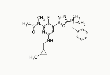 CC1CC1CNc1cc(-c2nnc([C@](C)(N)Cc3ccccc3)o2)c(F)c(N(C)[S+](C)[O-])n1